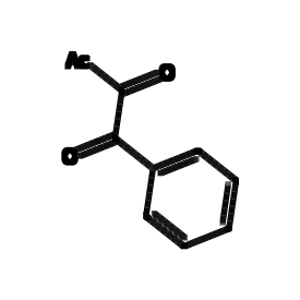 CC(=O)C(=O)C(=O)c1ccccc1